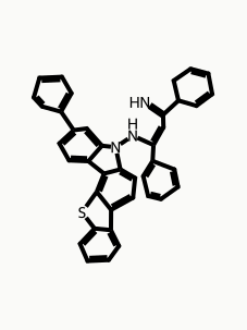 N=C(/C=C(\Nn1c2cc(-c3ccccc3)ccc2c2c3sc4ccccc4c3ccc21)c1ccccc1)C1C=CC=CC1